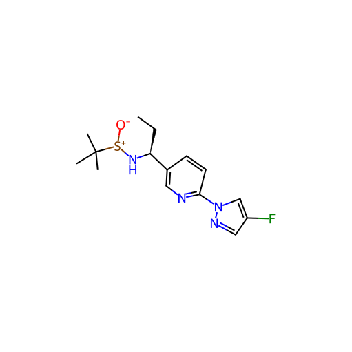 CC[C@H](N[S+]([O-])C(C)(C)C)c1ccc(-n2cc(F)cn2)nc1